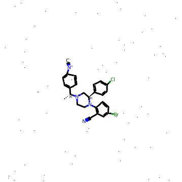 [C-]#[N+]c1ccc([C@@H](C)N2CCN(c3ccc(Br)cc3C#N)[C@H](c3ccc(Cl)cc3)C2)cc1